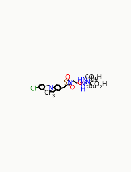 CC(C)(C)N(C(=O)O)C(NOCCN1C(=O)S/C(=C\c2ccc3c(ccn3Cc3ccc(Cl)cc3C(F)(F)F)c2)C1=O)(NC(=O)O)C(C)(C)C